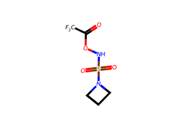 O=C(ONS(=O)(=O)N1CCC1)C(F)(F)F